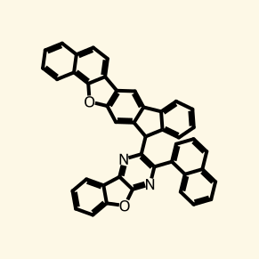 c1ccc2c(c1)-c1cc3c(cc1C2c1nc2c(nc1-c1cccc4ccccc14)oc1ccccc12)oc1c2ccccc2ccc31